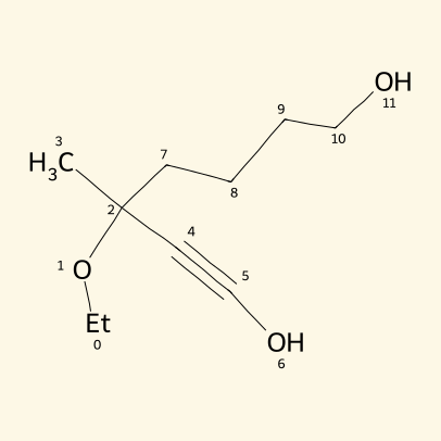 CCOC(C)(C#CO)CCCCO